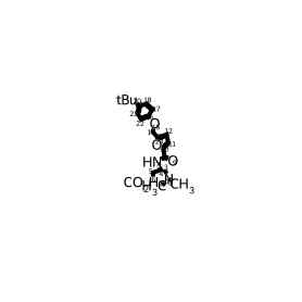 CN(C)C[C@@H](CC(=O)O)NC(=O)c1ccc(COc2ccc(C(C)(C)C)cc2)o1